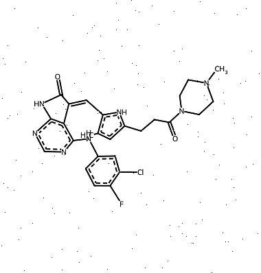 Cc1cc(CCC(=O)N2CCN(C)CC2)[nH]c1/C=C1/C(=O)Nc2ncnc(Nc3ccc(F)c(Cl)c3)c21